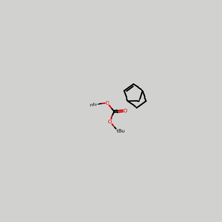 C1=CC2CCC1C2.CCCOC(=O)OC(C)(C)C